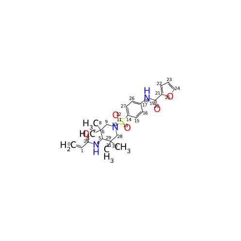 C=CC(=O)NC1C(C)(C)CN(S(=O)(=O)c2ccc(NC(=O)c3ccco3)cc2)CC1(C)C